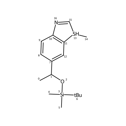 CC(O[Si](C)(C)C(C)(C)C)c1ccc2c(c1)[SH](C)C=N2